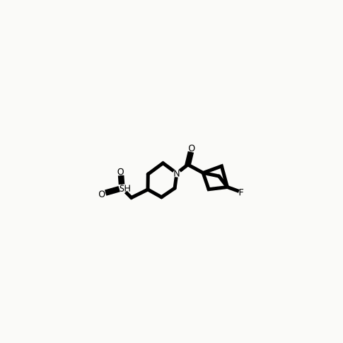 O=C(N1CCC(C[SH](=O)=O)CC1)C12CC(F)(C1)C2